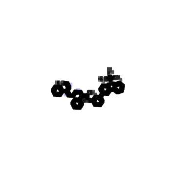 C/C=C\C(=C/C/C=C\C(=C(/C)Nc1cccc(-c2ccc3c(c2)c2ccccc2n3C(C)(C)C)c1)c1ccccc1)c1ccccc1